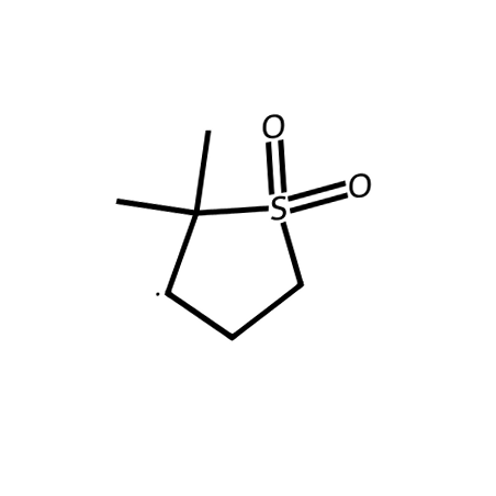 CC1(C)[CH]CCS1(=O)=O